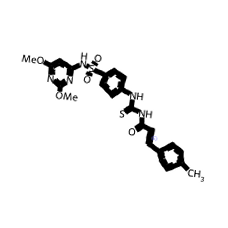 COc1cc(NS(=O)(=O)c2ccc(NC(=S)NC(=O)/C=C/c3ccc(C)cc3)cc2)nc(OC)n1